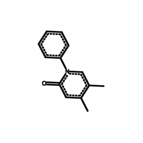 Cc1cc(=O)n(-c2ccccc2)cc1C